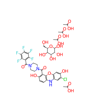 CC(=O)O.CC(=O)O.CC(=O)O.CC(=O)O.O=C(c1c(F)c(F)c(F)c(F)c1F)N1CCN(C(=O)c2c(O)ccc3c2Oc2cc(O)c(Cl)cc2N3)CC1.OC[C@H]1O[C@@H](O)[C@H](O)[C@@H](O)[C@H]1O